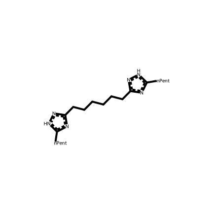 CCCCCc1nc(CCCCCCc2n[nH]c(CCCCC)n2)n[nH]1